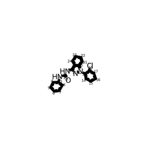 O=C(Nc1ccccc1)Nc1nn(-c2ccccc2Cl)c2ccccc12